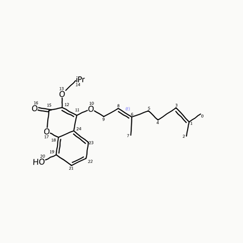 CC(C)=CCC/C(C)=C/COc1c(OC(C)C)c(=O)oc2c(O)cccc12